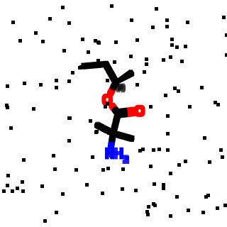 CC[C@@H](C)OC(=O)C(C)(C)N